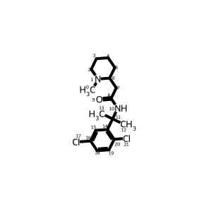 CN1CCCCC1CC(=O)NC(C)(C)c1cc(Cl)ccc1Cl